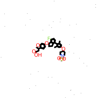 Cc1cc(OC2CCN(S(C)(=O)=O)CC2)cc(C)c1-c1ccc(F)c2c1CCC2Oc1ccc2c(c1)OCC2CC(=O)O